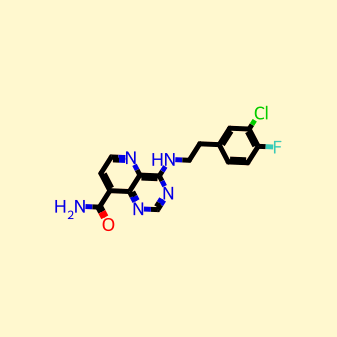 NC(=O)c1ccnc2c(NCCc3ccc(F)c(Cl)c3)ncnc12